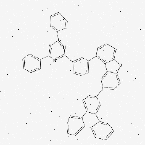 Cc1ccc(-c2nc(-c3ccccc3)nc(-c3cccc(-c4cccc5oc6ccc(-c7ccc8c9ccccc9c9ccccc9c8c7)cc6c45)c3)n2)cc1